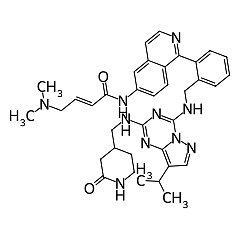 CC(C)c1cnn2c(NCc3ccccc3-c3nccc4cc(NC(=O)/C=C/CN(C)C)ccc34)nc(NCC3CCNC(=O)C3)nc12